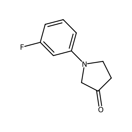 O=C1CCN(c2cccc(F)c2)C1